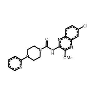 COc1nc2cc(Cl)ccc2nc1NC(=O)N1CCN(c2ccccn2)CC1